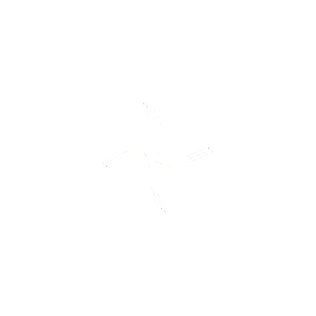 N#C[S][Pt]([S]C#N)([S]C#N)[S]C#N